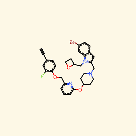 C#Cc1ccc(OCc2cccc(OC3CCN(Cc4cc5ccc(Br)cc5n4CC4CCO4)CC3)n2)c(F)c1